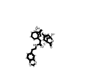 C=C1C[C@@]2([C@@H](C(=O)NCCc3ccc4c(c3)OCO4)C3C(C)=C[C@H]4OC(=O)[C@]3(C)[C@H]4O)CCC[C@]1(O)C2